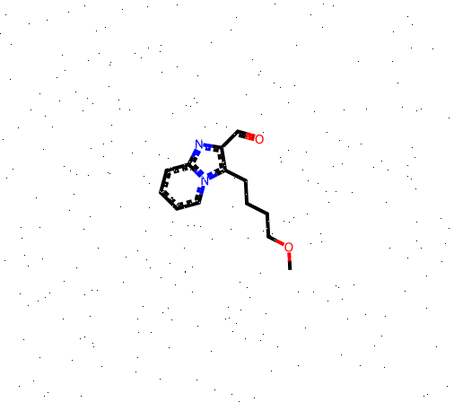 COCCCCc1c(C=O)nc2ccccn12